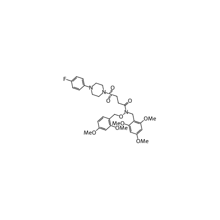 COc1ccc(CON(Cc2c(OC)cc(OC)cc2OC)C(=O)CCS(=O)(=O)N2CCN(c3ccc(F)cc3)CC2)c(OC)c1